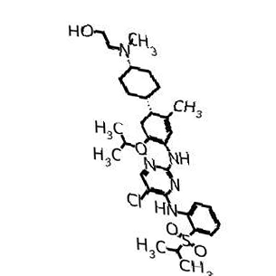 CC1=CC(Nc2ncc(Cl)c(Nc3ccccc3S(=O)(=O)C(C)C)n2)=C(OC(C)C)CC1[C@H]1CC[C@@H](N(C)CCO)CC1